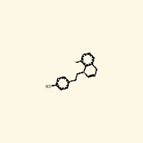 Oc1ccc(CCN2C=CCc3cccc(F)c32)cc1